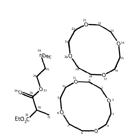 C1COCCOCCOCCO1.C1COCCOCCOCCO1.CCCCCCCCCCCCOC(=O)C(C)C(=O)OCC